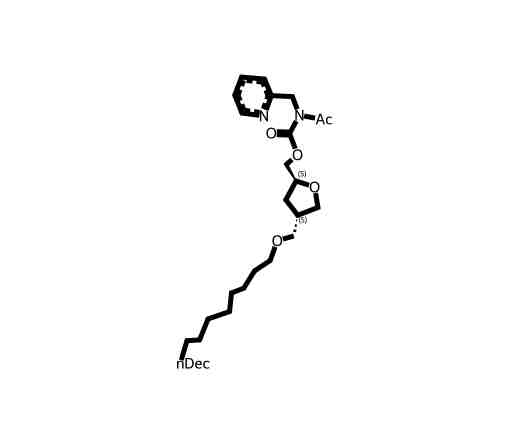 CCCCCCCCCCCCCCCCCCOC[C@H]1CO[C@H](COC(=O)N(Cc2ccccn2)C(C)=O)C1